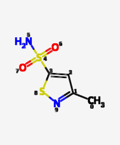 Cc1cc(S(N)(=O)=O)sn1